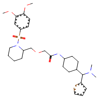 COc1ccc(S(=O)(=O)N2CCCCC2COCC(=O)NC2CCC(C(c3cccs3)N(C)C)CC2)cc1OC